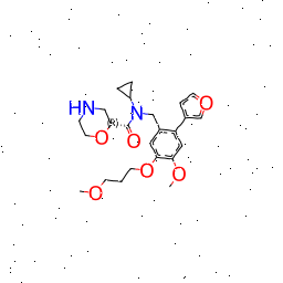 COCCCOc1cc(CN(C(=O)[C@H]2CNCCO2)C2CC2)c(-c2ccoc2)cc1OC